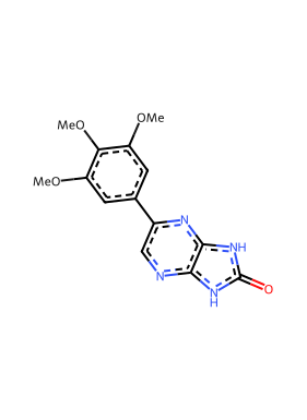 COc1cc(-c2cnc3[nH]c(=O)[nH]c3n2)cc(OC)c1OC